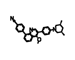 COc1c(-c2ccc(N3C[C@H](C)C[C@H](C)C3)cc2)cnc2c(-c3ccc(C#N)cc3)cccc12